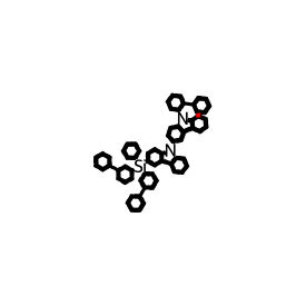 c1ccc(-c2cccc([Si](c3ccccc3)(c3cccc(-c4ccccc4)c3)c3ccc4c(c3)c3ccccc3n4-c3ccc4c(c3)c3ccccc3n4-c3ccccc3-c3ccccc3)c2)cc1